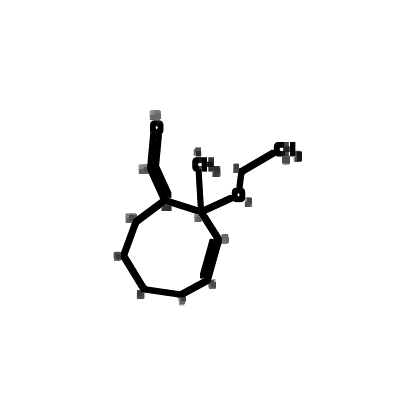 CCOC1(C)C=CCCCCC1=C=O